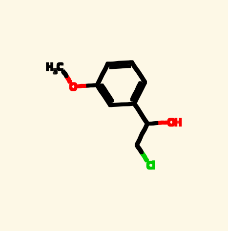 COc1cccc(C(O)CCl)c1